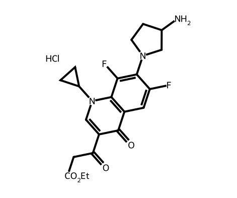 CCOC(=O)CC(=O)c1cn(C2CC2)c2c(F)c(N3CCC(N)C3)c(F)cc2c1=O.Cl